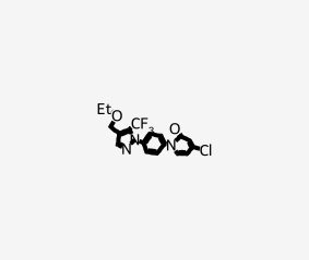 CCOCc1cnn(-c2ccc(-n3ccc(Cl)cc3=O)cc2)c1C(F)(F)F